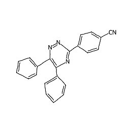 N#Cc1ccc(-c2nnc(-c3ccccc3)c(-c3ccccc3)n2)cc1